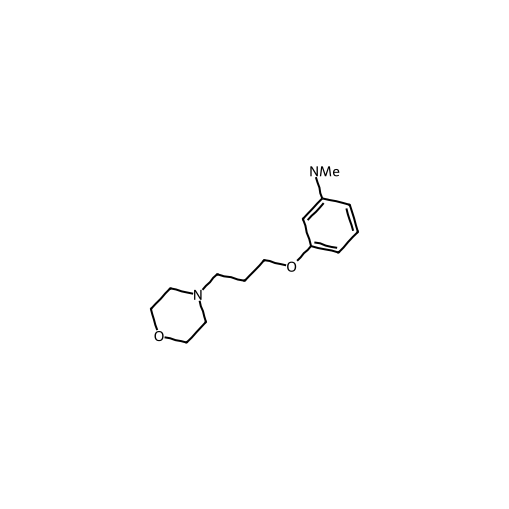 CNc1cccc(OCCCN2CCOCC2)c1